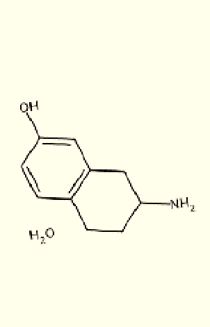 NC1CCc2ccc(O)cc2C1.O